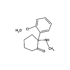 CNC1(c2ccccc2Cl)CCCCC1=O.O